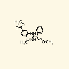 COCCC(C(=N)Nc1cc(C(=O)OC)ccc1OC)c1ccccc1